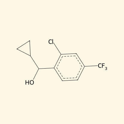 OC(c1ccc(C(F)(F)F)cc1Cl)C1CC1